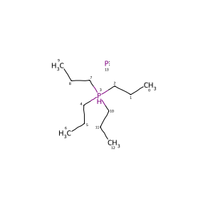 CCC[PH](CCC)(CCC)CCC.[P]